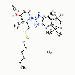 CCCCCCSSCc1c(C)c(OC)cc[n+]1-c1nc2cc3c(cc2[nH]1)C(C)(C)CCC3(C)C.[Cl-]